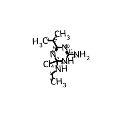 CCNC1(Cl)N=C(C(C)C)N=C(N)N1